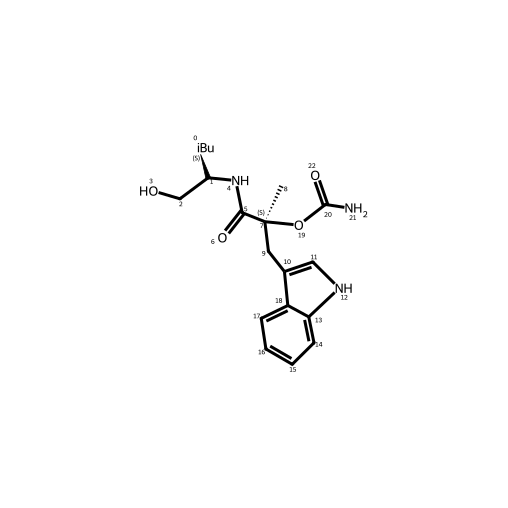 CC[C@H](C)C(CO)NC(=O)[C@](C)(Cc1c[nH]c2ccccc12)OC(N)=O